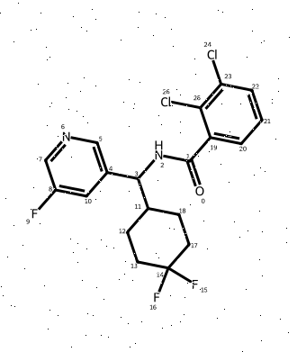 O=C(NC(c1cncc(F)c1)C1CCC(F)(F)CC1)c1cccc(Cl)c1Cl